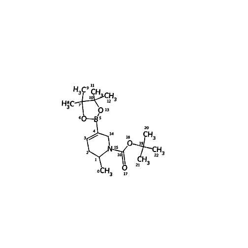 CC1CC=C(B2OC(C)(C)C(C)(C)O2)CN1C(=O)OC(C)(C)C